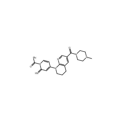 CCC(C)C(=O)n1ccc(N2CCCc3cc(C(=O)N4CCN(C)CC4)cnc32)cc1=N